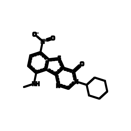 CNc1ccc([N+](=O)[O-])c2sc3c(=O)n(C4CCCCC4)cnc3c12